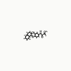 CON(C)C(=O)Nc1ccc(Oc2cccc3ccccc23)c(Cl)c1